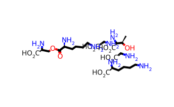 C[C@@H](O)[C@H](N)C(=O)O.NCC(=O)O.NCC(=O)O.NCCCC[C@H](N)C(=O)O.NCCCC[C@H](N)C(=O)OC[C@H](N)C(=O)O